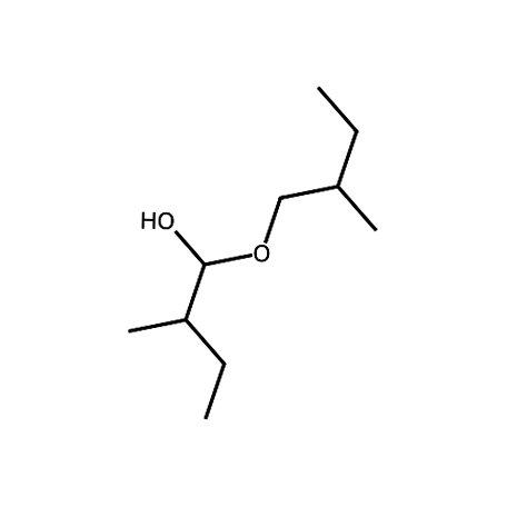 CCC(C)COC(O)C(C)CC